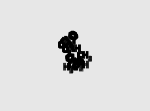 Cc1ccc(C)n1-c1cc(C(=O)N/N=C/c2ccccc2N2CCOCC2)ccc1C(=O)O